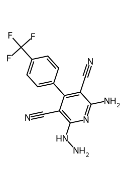 N#Cc1c(N)nc(NN)c(C#N)c1-c1ccc(C(F)(F)F)cc1